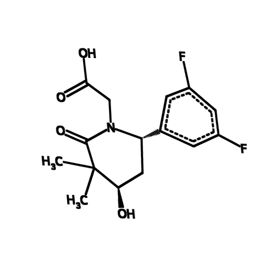 CC1(C)C(=O)N(CC(=O)O)[C@H](c2cc(F)cc(F)c2)C[C@H]1O